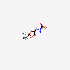 CC1(C)OCC(CNC([O])=O)O1